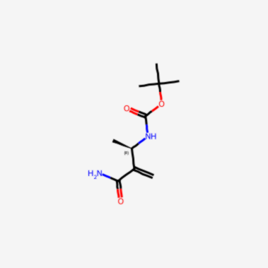 C=C(C(N)=O)[C@@H](C)NC(=O)OC(C)(C)C